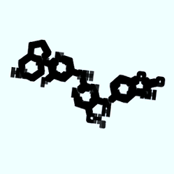 Cc1cnc(Nc2cnc([N+]34CCCC3CNCC4)c(F)c2)nc1Nc1ccc2oc(=O)[nH]c2c1